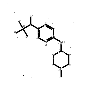 CC(c1ccc(NC2CCN(C)CC2)nc1)C(C)(C)C